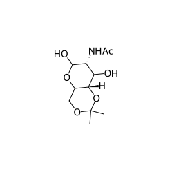 CC(=O)N[C@H]1C(O)OC2COC(C)(C)O[C@H]2C1O